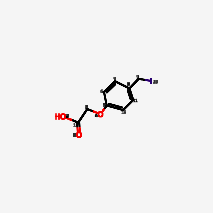 O=C(O)COc1ccc(CI)cc1